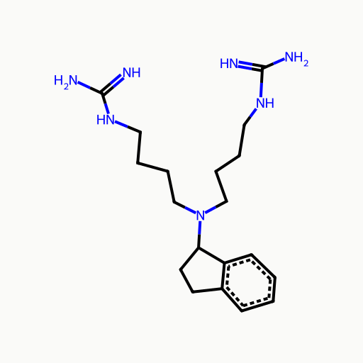 N=C(N)NCCCCN(CCCCNC(=N)N)C1CCc2ccccc21